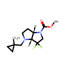 CCOC(=O)C1(CN2CC[C@H]3[C@@H]2C(F)(F)CN3C(=O)OC(C)(C)C)CC1